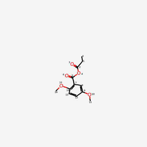 CCC(=O)OC(=O)c1cc(OC)ccc1OC